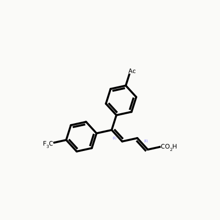 CC(=O)c1ccc(/C(=C\C=C\C(=O)O)c2ccc(C(F)(F)F)cc2)cc1